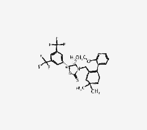 COc1ccccc1C1=C(CN2C(=S)O[C@H](c3cc(C(F)(F)F)cc(C(F)(F)F)c3)[C@@H]2C)CC(C)(C)CC1